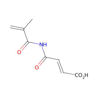 C=C(C)C(=O)NC(=O)C=CC(=O)O